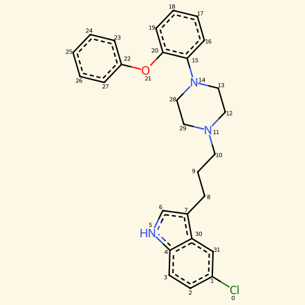 Clc1ccc2[nH]cc(CCCN3CCN(c4ccccc4Oc4ccccc4)CC3)c2c1